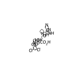 CC(C)Nc1nc2cnccc2n1CC1CCCCN1C(=O)CC[C@H](NC(=O)[C@@H]1CCCN1S(=O)(=O)c1cc(Cl)cc(Cl)c1)C(=O)O